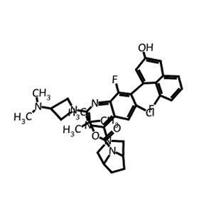 CN(C)C1CN(c2nc(N3CC4CCC(C3)N4C(=O)OC(C)(C)C)c3cc(Cl)c(-c4cc(O)cc5cccc(F)c45)c(F)c3n2)C1